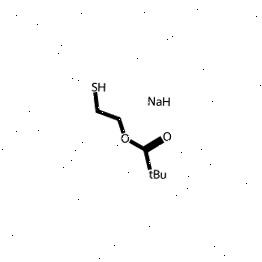 CC(C)(C)C(=O)OCCS.[NaH]